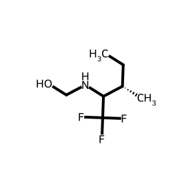 CC[C@H](C)C(NCO)C(F)(F)F